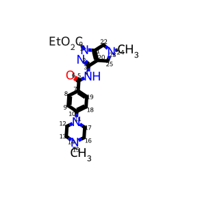 CCOC(=O)n1nc(NC(=O)c2ccc(N3CCN(C)CC3)cc2)c2c1CN(C)C2